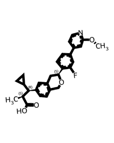 COc1cc(-c2ccc([C@@H]3Cc4cc([C@H](C5CC5)[C@H](C)C(=O)O)ccc4CO3)c(F)c2)ccn1